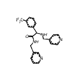 O=C(NCc1cccnc1)C(NCc1ccncc1)c1cccc(C(F)(F)F)c1